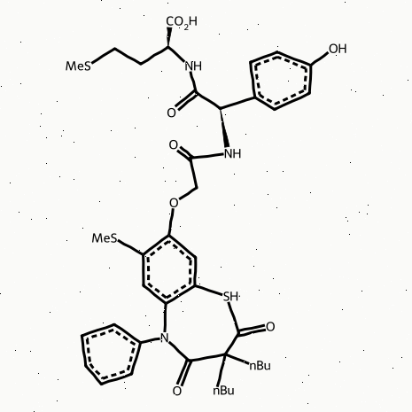 CCCCC1(CCCC)C(=O)[SH]c2cc(OCC(=O)N[C@@H](C(=O)N[C@@H](CCSC)C(=O)O)c3ccc(O)cc3)c(SC)cc2N(c2ccccc2)C1=O